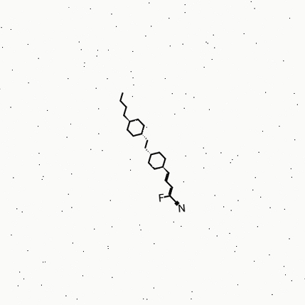 CCCC[C@H]1CC[C@H](CC[C@H]2CC[C@H](/C=C/C=C(\F)C#N)CC2)CC1